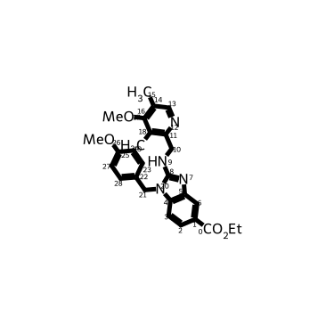 CCOC(=O)c1ccc2c(c1)nc(NCc1ncc(C)c(OC)c1C)n2Cc1ccc(OC)cc1